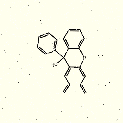 C=C/C=C1\C(=C/C=C)Oc2ccccc2C1(O)c1ccccc1